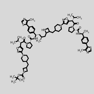 Cc1ncsc1-c1ccc([C@H](C)NC(=O)[C@@H]2CCCN2C(=O)[C@H](c2cc(N3CCC(CC4CNC4C[C@@H](C)C[C@H](NC(=O)[C@@H]4CCCN4C(=O)[C@H](c4cc(N5CCC(CC6CN(C(=O)OC(C)(C)C)C6)CC5)no4)C(C)C)c4ccc(-c5scnc5C)cc4)CC3)no2)C(C)C)cc1